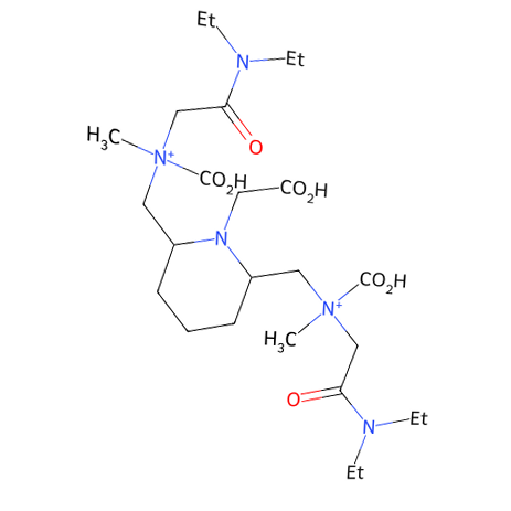 CCN(CC)C(=O)C[N+](C)(CC1CCCC(C[N+](C)(CC(=O)N(CC)CC)C(=O)O)N1CC(=O)O)C(=O)O